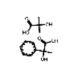 CC(C)(O)C(=O)O.CC(O)(C(=O)O)c1ccccc1